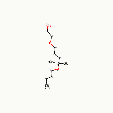 CCCCO[Si](C)(C)CCCOCCO